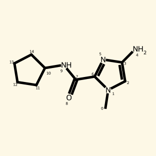 Cn1cc(N)nc1C(=O)NC1CCCC1